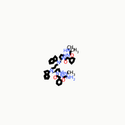 CN[C@@H](C)C(=O)N[C@H](C(=O)N1CCC[C@H]1CN(CCCCN(C[C@@H]1CCCN1C(=O)[C@H](NC(=O)[C@H](N)NC)C1CCCCC1)C1CCc2ccccc21)C1CCc2ccccc21)C1CCCCC1